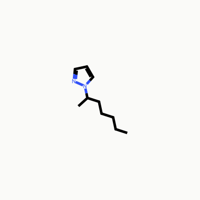 CCCCCC(C)n1cccn1